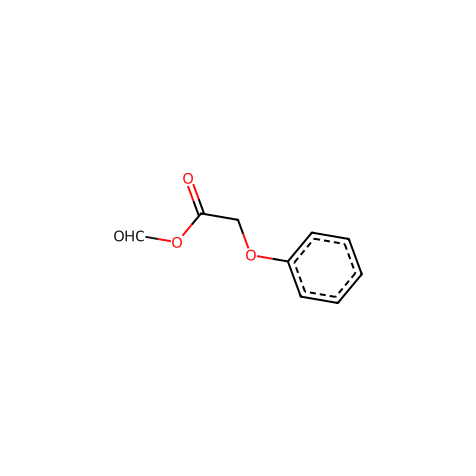 O=COC(=O)COc1ccccc1